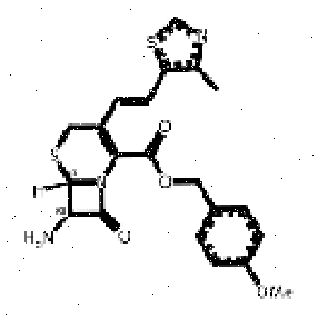 COc1ccc(COC(=O)C2=C(C=Cc3scnc3C)CS[C@H]3[C@H](N)C(=O)N23)cc1